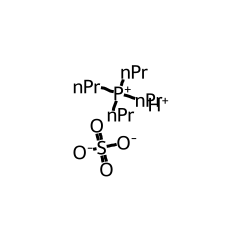 CCC[P+](CCC)(CCC)CCC.O=S(=O)([O-])[O-].[H+]